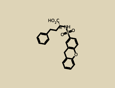 O=C(O)[C@@H](CCc1ccccc1)NS(=O)(=O)c1ccc2c(c1)Cc1ccccc1O2